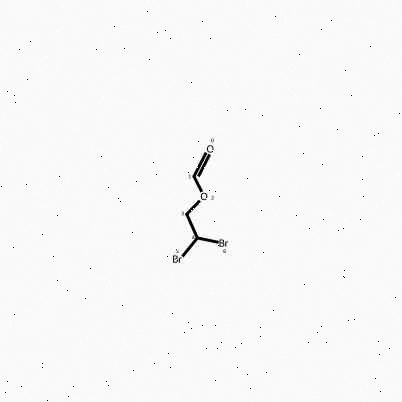 O=COCC(Br)Br